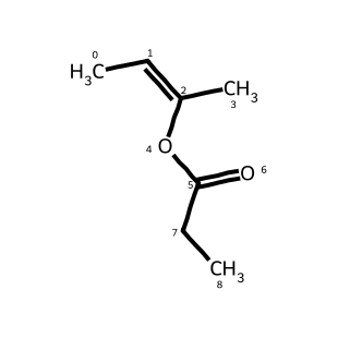 CC=C(C)OC(=O)CC